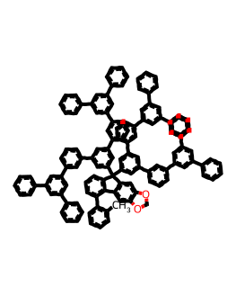 Cc1ccccc1-c1cccc2c1-c1cc3c(cc1C2(c1cc(-c2cccc(-c4cc(-c5ccccc5)cc(-c5ccccc5)c4)c2)cc(-c2cccc(-c4cc(-c5ccccc5)cc(-c5ccccc5)c4)c2)c1)c1cc(-c2cccc(-c4cc(-c5ccccc5)cc(-c5ccccc5)c4)c2)cc(-c2cccc(-c4cc(-c5ccccc5)cc(-c5ccccc5)c4)c2)c1)OCO3